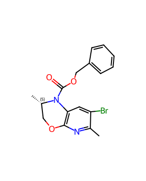 Cc1nc2c(cc1Br)N(C(=O)OCc1ccccc1)[C@@H](C)CO2